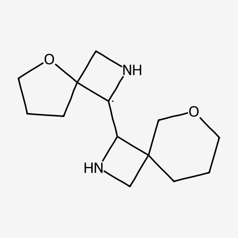 C1COC2(C1)CN[C]2C1NCC12CCCOC2